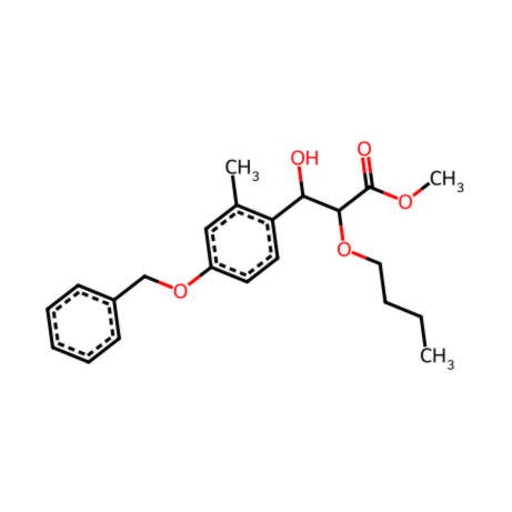 CCCCOC(C(=O)OC)C(O)c1ccc(OCc2ccccc2)cc1C